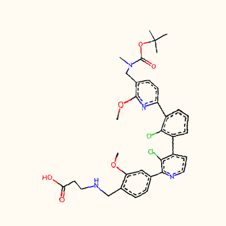 COc1cc(-c2nccc(-c3cccc(-c4ccc(CN(C)C(=O)OC(C)(C)C)c(OC)n4)c3Cl)c2Cl)ccc1CNCCC(=O)O